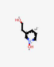 OCCc1ccc[n+](O)c1.[I-]